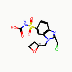 O=C(O)NS(=O)(=O)c1ccc2nc(CCl)n(C[C@@H]3CCO3)c2c1